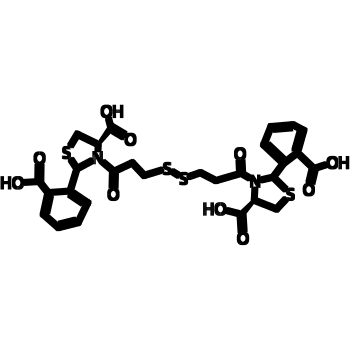 O=C(O)c1ccccc1C1SC[C@@H](C(=O)O)N1C(=O)CCSSCCC(=O)N1C(c2ccccc2C(=O)O)SC[C@H]1C(=O)O